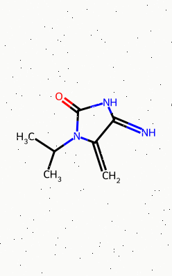 C=C1C(=N)NC(=O)N1C(C)C